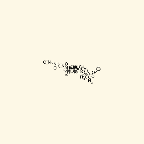 CC1(C)[C@@H](C(=O)O[C@H]2CC[C@]3(C)[C@H]4CC[C@@H]5[C@H]6[C@H](C7CC7)CC[C@]6(C(=O)N6CCC(C(=O)NCCN7CCOCC7)CC6)CC[C@@]5(C)[C@]4(C)CC[C@H]3C2(C)C)C[C@H]1C(=O)OCc1ccccc1